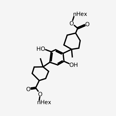 CCCCCCOC(=O)C1CCC(C)(c2cc(O)c(C3(C)CCC(C(=O)OCCCCCC)CC3)cc2O)CC1